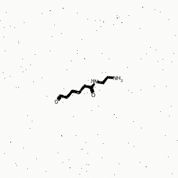 NCCNC(=O)CCCCC=O